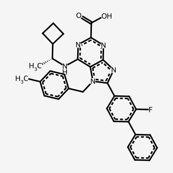 Cc1ccc(Cn2c(-c3ccc(-c4ccccc4)c(F)c3)nc3nc(C(=O)O)nc(N[C@H](C)C4CCC4)c32)cc1